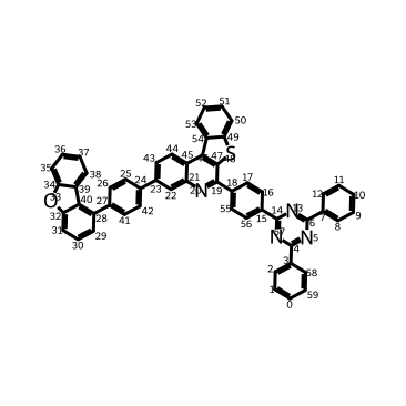 c1ccc(-c2nc(-c3ccccc3)nc(-c3ccc(-c4nc5cc(-c6ccc(-c7cccc8oc9ccccc9c78)cc6)ccc5c5c4sc4ccccc45)cc3)n2)cc1